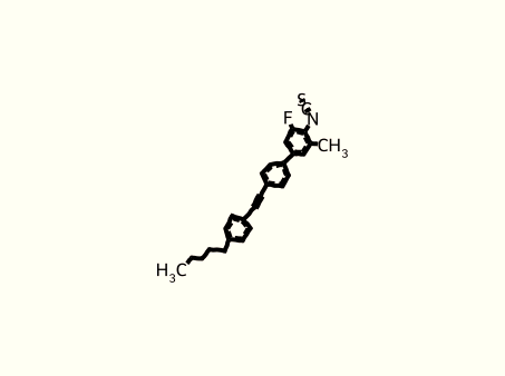 CCCCCc1ccc(C#Cc2ccc(-c3cc(C)c(N=C=S)c(F)c3)cc2)cc1